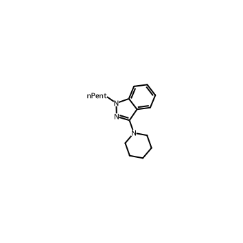 CCCCCn1nc(N2CCCCC2)c2ccccc21